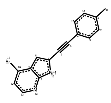 Cc1ccc(C#Cc2cc3c(Br)ccnc3[nH]2)cc1